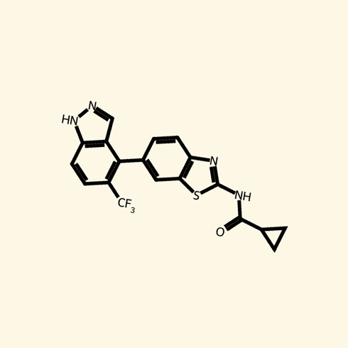 O=C(Nc1nc2ccc(-c3c(C(F)(F)F)ccc4[nH]ncc34)cc2s1)C1CC1